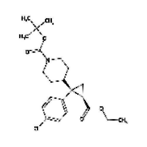 CCOC(=O)[C@@H]1C[C@]1(c1ccc(Cl)cc1)C1CCN(C(=O)OC(C)(C)C)CC1